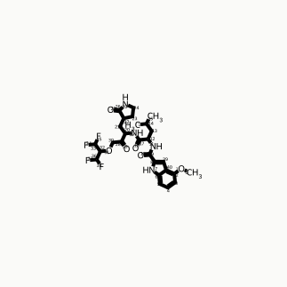 COc1cccc2[nH]c(C(=O)NC(CC(C)C)C(=O)NC(CC3CCNC3=O)C(=O)COC(C(F)F)C(F)F)cc12